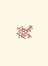 CC(=O)OCC1OC(OC2C(COC(C)=O)OC(OC(=O)C(C)(C)Br)C(OC(C)=O)C2C)C(OC(C)=O)C(C)C1C